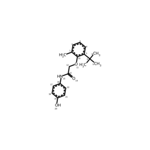 Cc1cccc(C(C)(C)C)c1OCC(=O)Nc1ccc(O)cc1